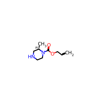 C=CCOC(=O)N1CCNC[C@H]1C